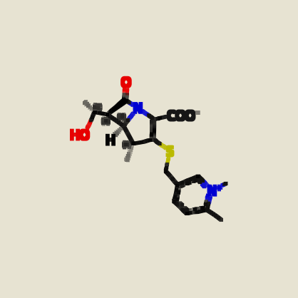 Cc1ccc(CSC2=C(C(=O)[O-])N3C(=O)[C@H]([C@@H](C)O)[C@@H]3[C@H]2C)c[n+]1C